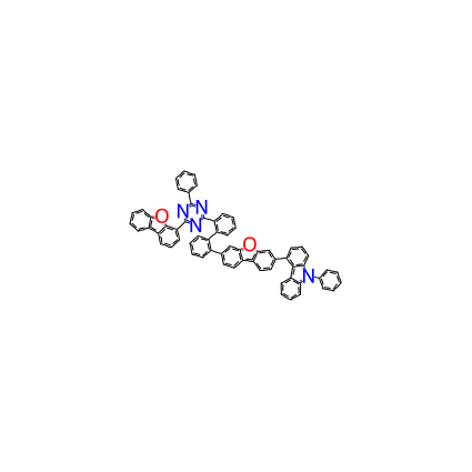 c1ccc(-c2nc(-c3ccccc3-c3ccccc3-c3ccc4c(c3)oc3cc(-c5cccc6c5c5ccccc5n6-c5ccccc5)ccc34)nc(-c3cccc4c3oc3ccccc34)n2)cc1